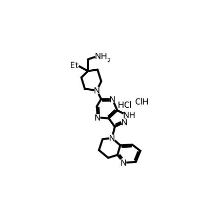 CCC1(CN)CCN(c2cnc3c(N4CCCc5ncccc54)n[nH]c3n2)CC1.Cl.Cl